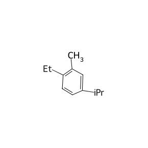 [CH2]C(C)c1ccc(CC)c(C)c1